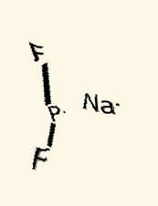 F[P]F.[Na]